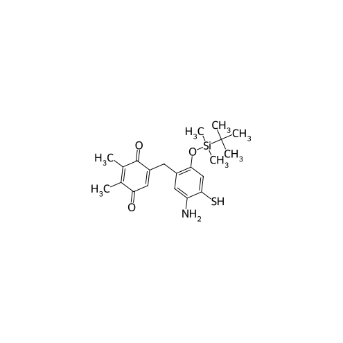 CC1=C(C)C(=O)C(Cc2cc(N)c(S)cc2O[Si](C)(C)C(C)(C)C)=CC1=O